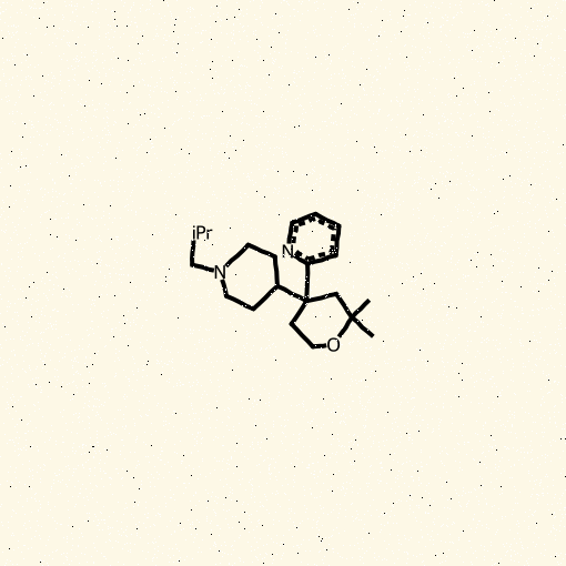 CC(C)CN1CCC(C2(c3ccccn3)CCOC(C)(C)C2)CC1